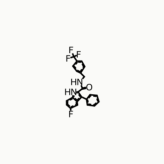 O=C(NCc1ccc(C(F)(F)F)cc1)c1[nH]c2ccc(F)cc2c1-c1ccccc1